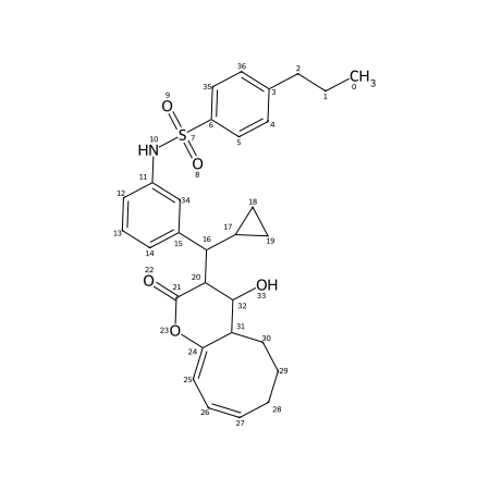 CCCc1ccc(S(=O)(=O)Nc2cccc(C(C3CC3)C3C(=O)OC4=CC=CCCCC4C3O)c2)cc1